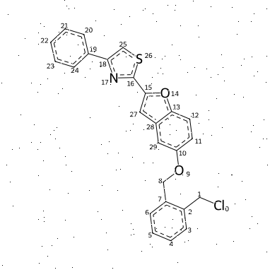 ClCc1ccccc1COc1ccc2oc(-c3nc(-c4ccccc4)cs3)cc2c1